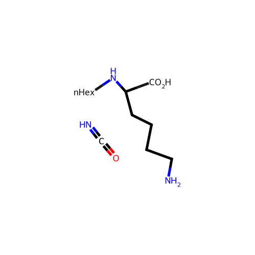 CCCCCCNC(CCCCN)C(=O)O.N=C=O